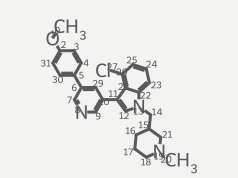 COc1ccc(-c2cncc(-c3cn(CC4CCCN(C)C4)c4cccc(Cl)c34)c2)cc1